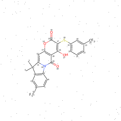 CC1(C)c2cc(C(F)(F)F)ccc2-n2c1cc1oc(=O)c(Sc3cccc(C(F)(F)F)c3)c(O)c1c2=O